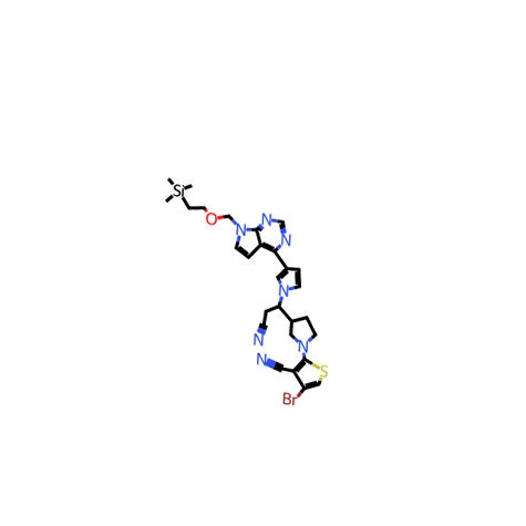 C[Si](C)(C)CCOCn1ccc2c(-c3ccn(C(CC#N)C4CCN(c5scc(Br)c5C#N)C4)c3)ncnc21